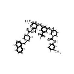 Cc1ccnc(NC(=S)N2CCCC(Nc3cc(Cc4cc(C)nc(NC(=S)N5CCN(Cc6cccc7ccccc67)CC5)c4)cc(C(F)(F)F)c3)C2)c1